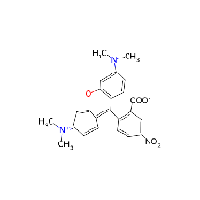 CN(C)c1ccc2c(-c3ccc([N+](=O)[O-])cc3C(=O)[O-])c3ccc(=[N+](C)C)cc-3oc2c1